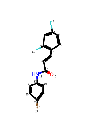 O=C(/C=C/c1ccc(F)cc1F)Nc1ccc(Br)cc1